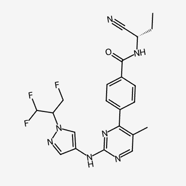 CC[C@@H](C#N)NC(=O)c1ccc(-c2nc(Nc3cnn(C(CF)C(F)F)c3)ncc2C)cc1